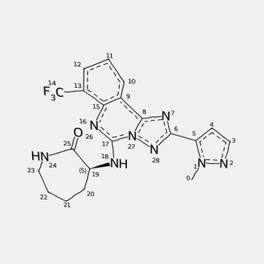 Cn1nccc1-c1nc2c3cccc(C(F)(F)F)c3nc(N[C@H]3CCCCNC3=O)n2n1